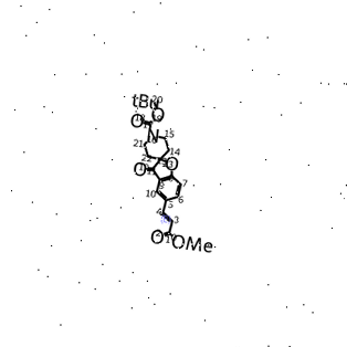 COC(=O)/C=C/c1ccc2c(c1)C(=O)C1(CCN(C(=O)OC(C)(C)C)CC1)O2